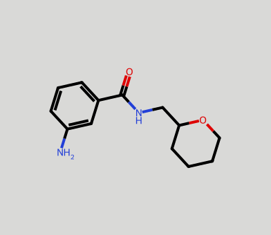 Nc1cccc(C(=O)NCC2CCCCO2)c1